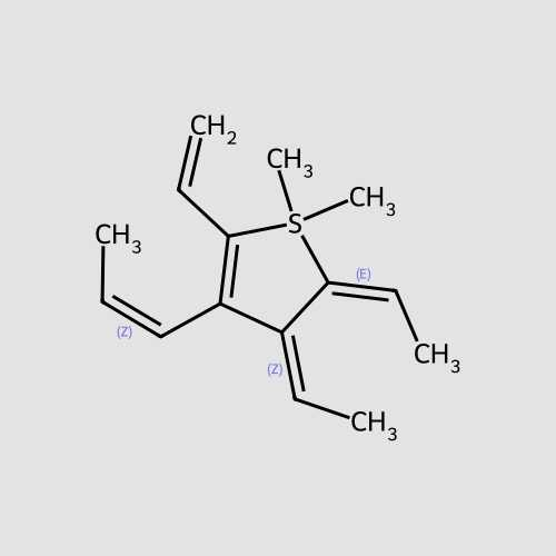 C=CC1=C(/C=C\C)C(=C/C)/C(=C\C)S1(C)C